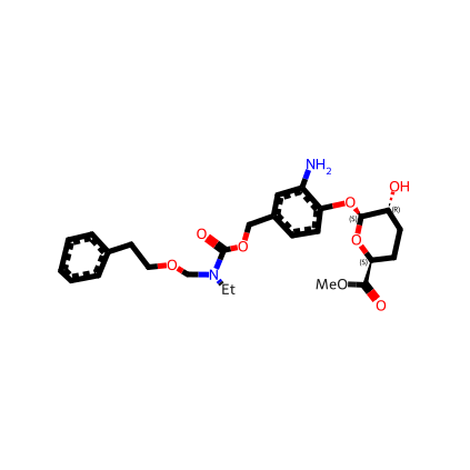 CCN(COCCc1ccccc1)C(=O)OCc1ccc(O[C@@H]2O[C@H](C(=O)OC)CC[C@H]2O)c(N)c1